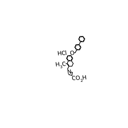 CC1=C(CN2CC(C(=O)O)C2)CCc2cc(OCc3ccc(-c4ccccc4)cc3)ccc21.Cl